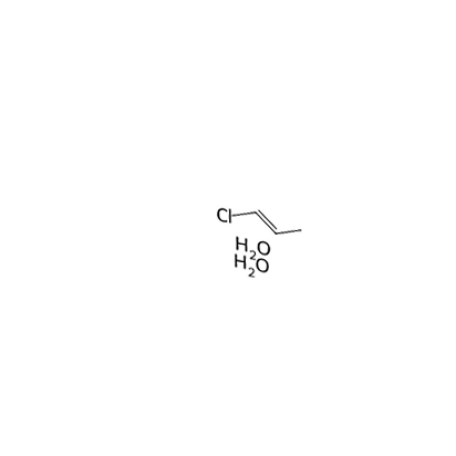 CC=CCl.O.O